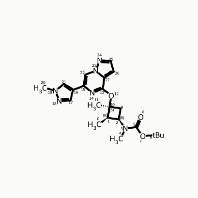 C[C@@H]1[C@H](N(C)C(=O)OC(C)(C)C)C[C@]1(C)Oc1nc(-c2cnn(C)c2)cn2nccc12